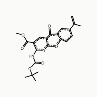 C=C(C)c1ccc2oc3nc(NC(=O)OC(C)(C)C)c(C(=O)OC)cc3c(=O)c2c1